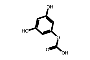 O=C(O)Oc1cc(O)cc(O)c1